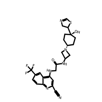 N#Cc1cc(NCC(=O)NC2CN([C@H]3CC[C@@](O)(C4CN=CS4)CC3)C2)c2cc(C(F)(F)F)ccc2n1